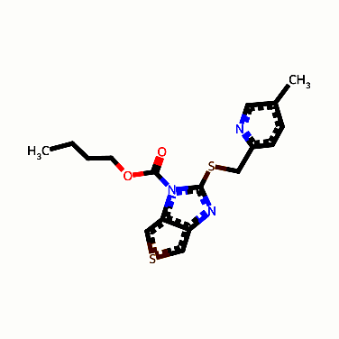 CCCCOC(=O)n1c(SCc2ccc(C)cn2)nc2cscc21